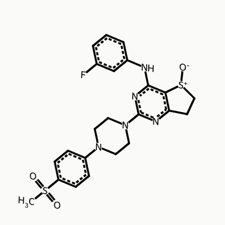 CS(=O)(=O)c1ccc(N2CCN(c3nc4c(c(Nc5cccc(F)c5)n3)[S+]([O-])CC4)CC2)cc1